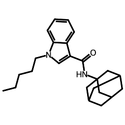 CCCCCn1cc(C(=O)NC23CC4CC(CC(C4)C2)C3)c2ccccc21